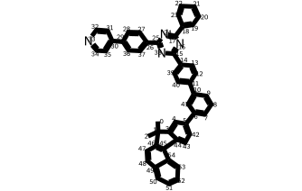 CC1(C)c2cc(-c3cccc(-c4ccc(-c5nc(-c6ccccc6)nc(-c6ccc(-c7ccncc7)cc6)n5)cc4)c3)ccc2-c2c1ccc1ccccc21